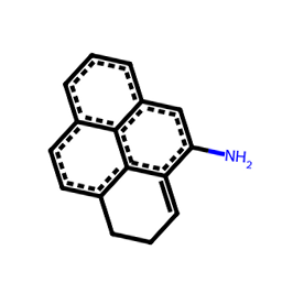 Nc1cc2cccc3ccc4c(c1=CCC4)c32